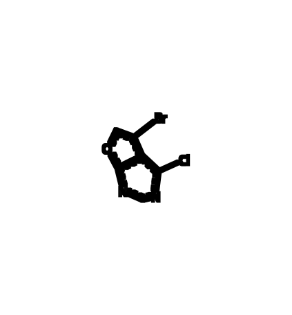 Clc1ncnc2occ(Br)c12